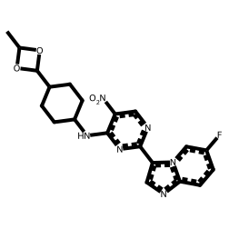 CC1OC(C2CCC(Nc3nc(-c4cnc5ccc(F)cn45)ncc3[N+](=O)[O-])CC2)O1